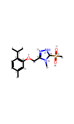 Cc1ccc(C(C)C)c(OCC2=NNC(S(C)(=O)=O)N2C)c1